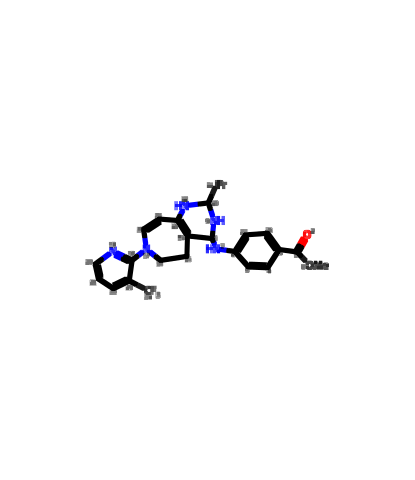 COC(=O)c1ccc(NC2NC(C(C)C)NC3=C2CCN(c2ncccc2C(F)(F)F)C=C3)cc1